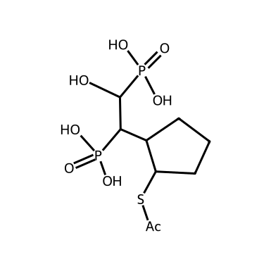 CC(=O)SC1CCCC1C(C(O)P(=O)(O)O)P(=O)(O)O